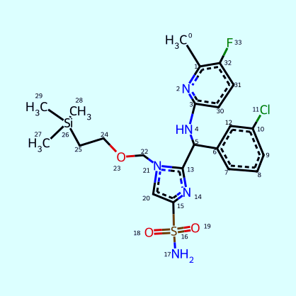 Cc1nc(NC(c2cccc(Cl)c2)c2nc(S(N)(=O)=O)cn2COCC[Si](C)(C)C)ccc1F